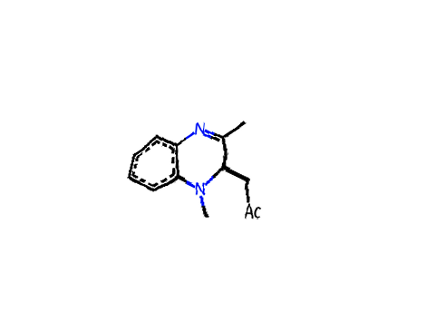 CC(=O)CC1C(C)=Nc2ccccc2N1C